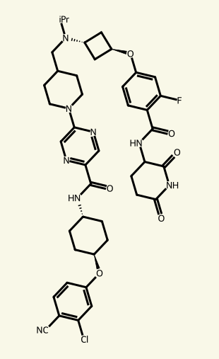 CC(C)N(CC1CCN(c2cnc(C(=O)N[C@H]3CC[C@H](Oc4ccc(C#N)c(Cl)c4)CC3)cn2)CC1)[C@H]1C[C@H](Oc2ccc(C(=O)NC3CCC(=O)NC3=O)c(F)c2)C1